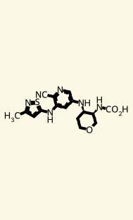 Cc1cc(Nc2cc(N[C@@H]3CCOC[C@@H]3NC(=O)O)cnc2C#N)sn1